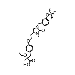 CCOC(C)(Cc1ccc(OCCC2CN(Cc3cccc(OC(F)(F)F)c3)C(=O)N2C)cc1)C(=O)O